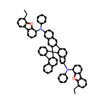 CCc1cccc2c1oc1c(N(c3ccccc3)c3ccc4cc5c(cc4c3)C3(c4ccccc4-c4c3ccc3ccccc43)c3c-5ccc4cc(N(c5ccccc5)c5cccc6c5oc5c(CC)cccc56)ccc34)cccc12